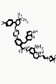 CC1(C)CCC(CN2CCN(c3ccc(C(=O)NSc4cc(N)c5c(c4)CC[C@H](CCN4CC(C)(C)C4)N5)c(Cc4cnc5[nH]ccc5c4)c3)CC2)=C(c2ccc(Cl)cc2)C1